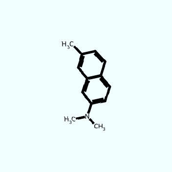 Cc1ccc2ccc(N(C)C)cc2c1